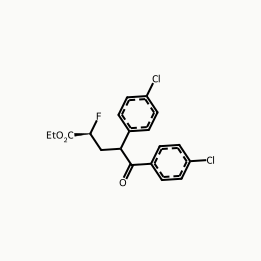 CCOC(=O)[C@@H](F)CC(C(=O)c1ccc(Cl)cc1)c1ccc(Cl)cc1